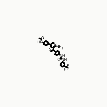 CC(=O)Nc1ccc(-c2cnc(N)c3c(-c4ccc(NC(=O)Nc5cccc(C(F)(F)F)c5)cc4)csc23)cc1